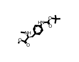 CN[C@@H](Cc1ccc(NC(=O)OC(C)(C)C)cc1)C(=O)OC